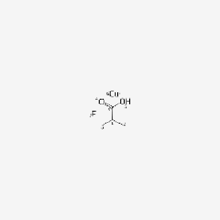 CC(C)C(=O)O.[Cu].[F]